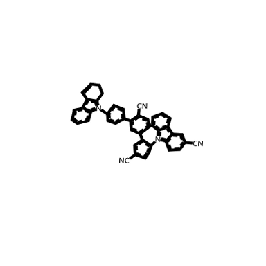 N#Cc1ccc(-n2c3ccccc3c3cc(C#N)ccc32)c(-c2ccc(C#N)c(-c3ccc(-n4c5c(c6ccccc64)C=CCC5)cc3)c2)c1